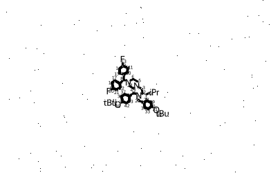 CC(C)C[C@@H](CN1CCN(C(c2ccc(F)cc2)c2ccc(F)cc2)CC1)N(Cc1ccc(OC(C)(C)C)cc1)Cc1ccc(OC(C)(C)C)cc1